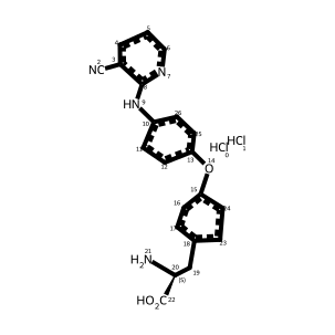 Cl.Cl.N#Cc1cccnc1Nc1ccc(Oc2ccc(C[C@H](N)C(=O)O)cc2)cc1